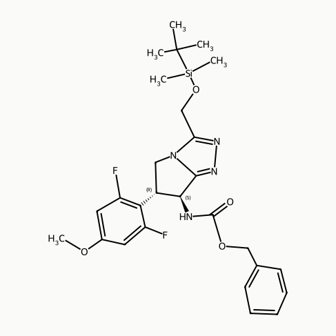 COc1cc(F)c([C@@H]2Cn3c(CO[Si](C)(C)C(C)(C)C)nnc3[C@H]2NC(=O)OCc2ccccc2)c(F)c1